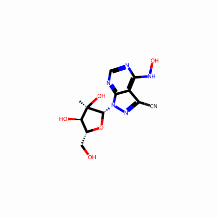 C[C@@]1(O)[C@H](O)[C@@H](CO)O[C@H]1n1nc(C#N)c2c(NO)ncnc21